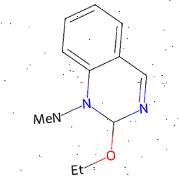 CCOC1N=Cc2ccccc2N1NC